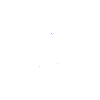 COCOCC12CC(=S)CCNCCC(=S)CC(C(=O)OC(C)(C)C)(CC(=S)CCNCCC(=S)C1)CC(=S)CCNCCC(=S)C2